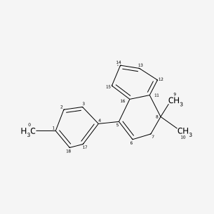 Cc1ccc(C2=CCC(C)(C)c3cc[c]cc32)cc1